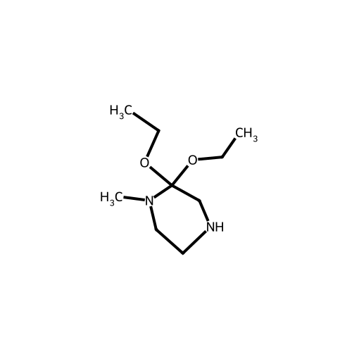 CCOC1(OCC)CNCCN1C